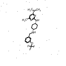 Cc1cc(N(C)C)nc(N[C@H]2CC[C@@H](NCc3cccc(OC(F)(F)F)c3)CC2)n1